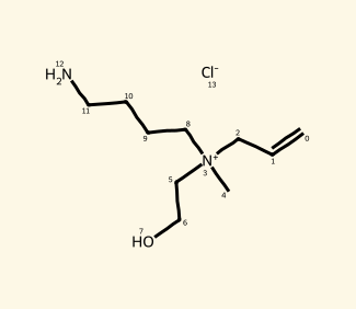 C=CC[N+](C)(CCO)CCCCN.[Cl-]